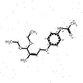 CCOC(OCC)C(C)=CCOc1ccc(NC(C)=O)cc1